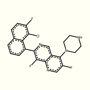 Fc1cnc2c(F)c(-c3cccc4ccc(F)c(Cl)c34)ncc2c1N1CCNCC1